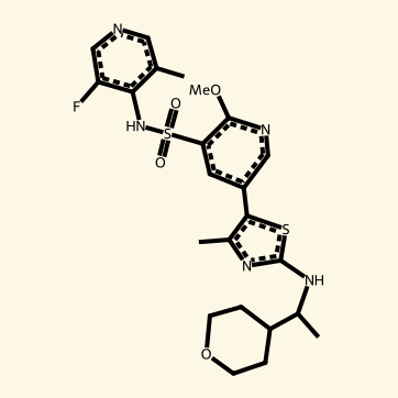 COc1ncc(-c2sc(NC(C)C3CCOCC3)nc2C)cc1S(=O)(=O)Nc1c(C)cncc1F